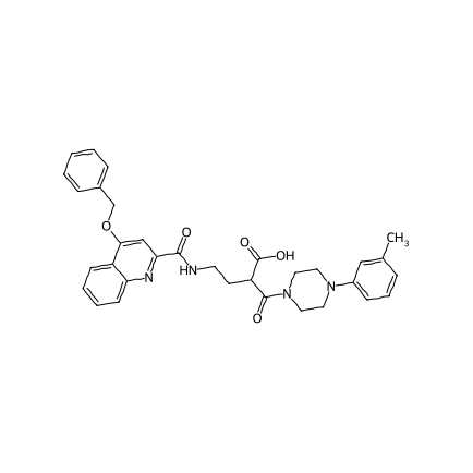 Cc1cccc(N2CCN(C(=O)C(CCNC(=O)c3cc(OCc4ccccc4)c4ccccc4n3)C(=O)O)CC2)c1